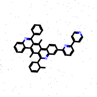 Cc1c2c(C3C=CC=CC3C)nc3cc(-c4cccc(-c5ccncc5)n4)ccc3c2c(C)c2c(-c3ccccc3)nc3ccccc3c12